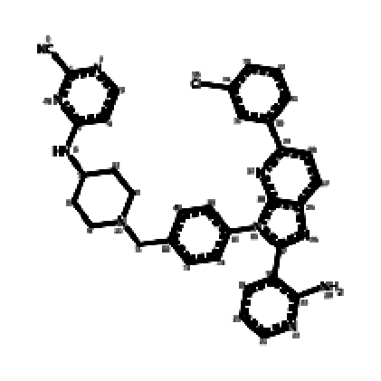 N#Cc1nccc(NC2CCN(Cc3ccc(-n4c(-c5cccnc5N)nc5ccc(-c6cccc(Cl)c6)nc54)cc3)CC2)n1